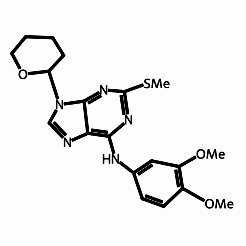 COc1ccc(Nc2nc(SC)nc3c2ncn3C2CCCCO2)cc1OC